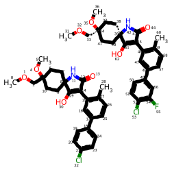 COCC1(OC)CCC2(CC1)NC(=O)C(c1cc(-c3ccc(Cl)cc3)ccc1C)=C2O.COC[C@]1(OC)CC[C@]2(CC1)NC(=O)C(c1cc(-c3ccc(Cl)c(F)c3)ccc1C)=C2O